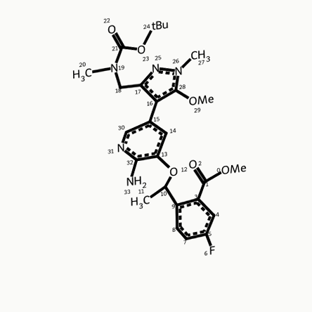 COC(=O)c1cc(F)ccc1C(C)Oc1cc(-c2c(CN(C)C(=O)OC(C)(C)C)nn(C)c2OC)cnc1N